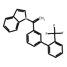 C=C(c1cccc(-c2ccccc2C(F)(F)F)c1)n1ccc2ccccc21